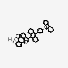 CC1(C)c2ccccc2-c2ccc(-c3c4ccccc4c(-c4ccc(-n5c6c(c7ccccc75)CCC=C6)cc4)c4ccccc34)c3cccc1c23